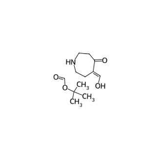 CC(C)(C)OC=O.O=C1CCNCCC1=CO